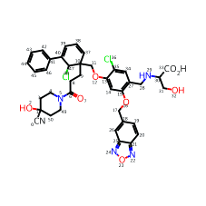 N#CC1(O)CCN(C(=O)CCC2(COc3cc(OCc4ccc5nonc5c4)c(CNC(CO)C(=O)O)cc3Cl)C=CC=C(c3ccccc3)C2Cl)CC1